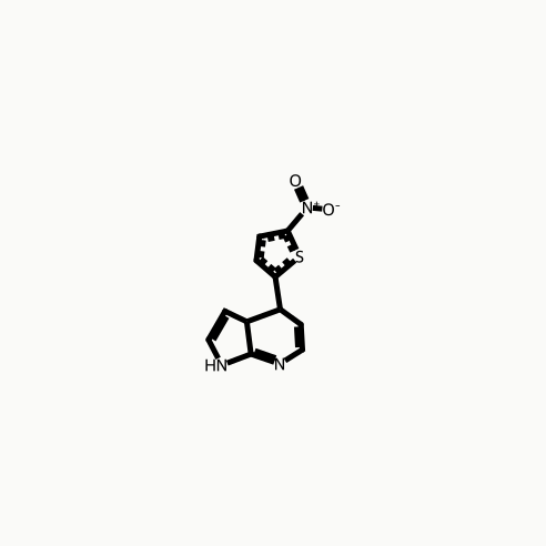 O=[N+]([O-])c1ccc(C2C=CN=C3NC=CC32)s1